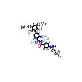 COc1cc(OC)c(Cl)c(-c2ccc(C(=N)NC(=O)c3ccc(NCCCN(C)C)cc3)c(N)c2)c1Cl